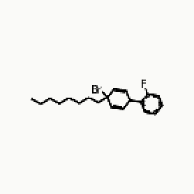 CCCCCCCCC1(Br)C=CC(c2ccccc2F)C=C1